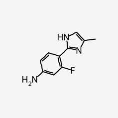 Cc1c[nH]c(-c2ccc(N)cc2F)n1